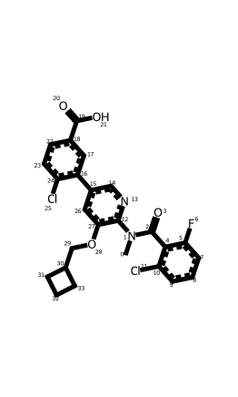 CN(C(=O)c1c(F)cccc1Cl)c1ncc(-c2cc(C(=O)O)ccc2Cl)cc1OCC1CCC1